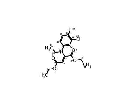 CCOC(=O)/C=C(/C(=O)OCC)N(CC)c1ccc(F)c(Cl)c1